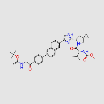 C=C(NCC(=O)c1ccc(-c2ccc3cc(-c4c[nH]c([C@@H]5CC6(CC6)CN5C(=O)[C@@H](NC(=O)OC)C(C)C)n4)ccc3c2)cc1)OC(C)(C)C